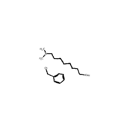 CCCCCCCCCCCCCCCCCCN(C)C.ClCc1ccccc1